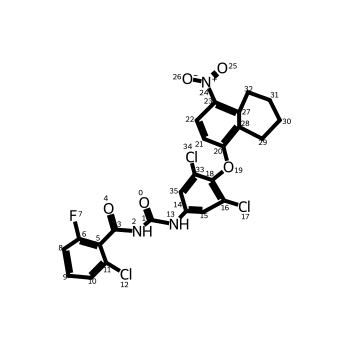 O=C(NC(=O)c1c(F)cccc1Cl)Nc1cc(Cl)c(Oc2ccc([N+](=O)[O-])c3c2CCCC3)c(Cl)c1